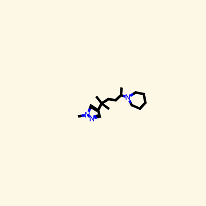 CC(CCC(C)(C)c1cnn(C)c1)N1CCCCC1